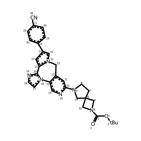 CC(C)(C)OC(=O)N1CC2(CCN(c3cc4c(cn3)-n3ccnc3-c3cc(-c5ccc(C#N)cc5)cn3C4)C2)C1